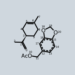 C=C(C)[C@H]1CC=C(C)CC1.CC(=O)OCc1ccc2c(c1)OCO2